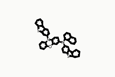 c1ccc2c(c1)Oc1cc(N(c3ccc4sc5ccccc5c4c3)c3cccc4ccccc34)ccc1N2c1ccc2c(c1)sc1ccccc12